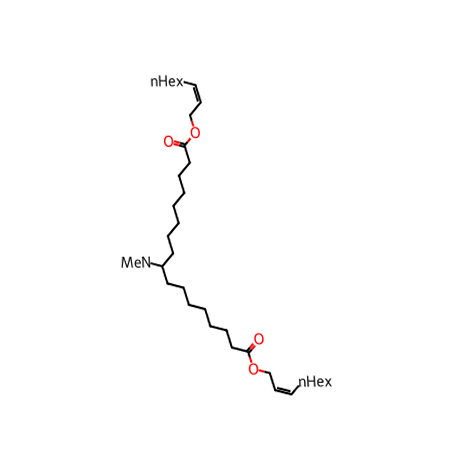 CCCCCC/C=C\COC(=O)CCCCCCCC(CCCCCCCC(=O)OC/C=C\CCCCCC)NC